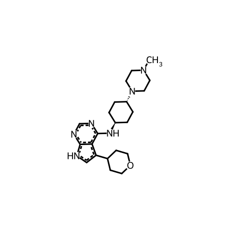 CN1CCN([C@H]2CC[C@H](Nc3ncnc4[nH]cc(C5CCOCC5)c34)CC2)CC1